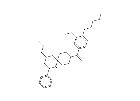 C=C(c1ccc(CCCCC)c(CC)c1)C1CCC2(CC1)CC(CCC)CC(c1ccccc1)S2